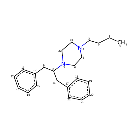 CCCCN1CCN(C(Cc2ccccc2)Cc2ccccc2)CC1